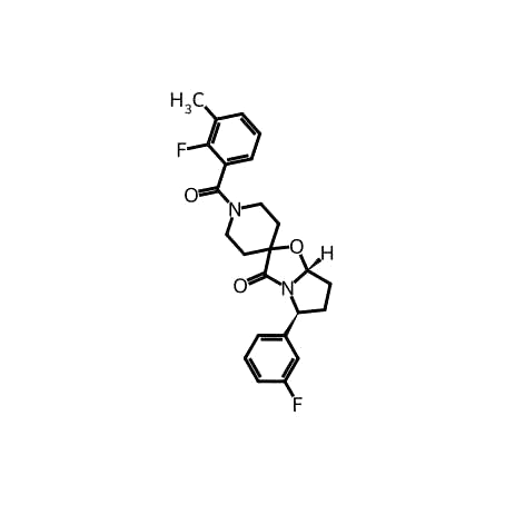 Cc1cccc(C(=O)N2CCC3(CC2)O[C@@H]2CC[C@@H](c4cccc(F)c4)N2C3=O)c1F